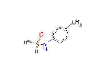 [CH2]CCS(=O)(=O)Nc1ccc(C)cc1